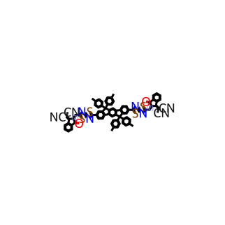 Cc1ccc(C2(c3ccc(C)cc3)c3cc(-c4nc5sc(/C=C6\C(=O)c7ccccc7C6=C(C#N)C#N)nc5s4)ccc3-c3cc4c(cc32)-c2ccc(-c3nc5sc(/C=C6\C(=O)c7ccccc7C6=C(C#N)C#N)nc5s3)cc2C4(c2ccc(C)cc2)c2ccc(C)cc2)cc1